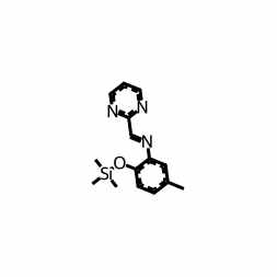 Cc1ccc(O[Si](C)(C)C)c(/N=C/c2ncccn2)c1